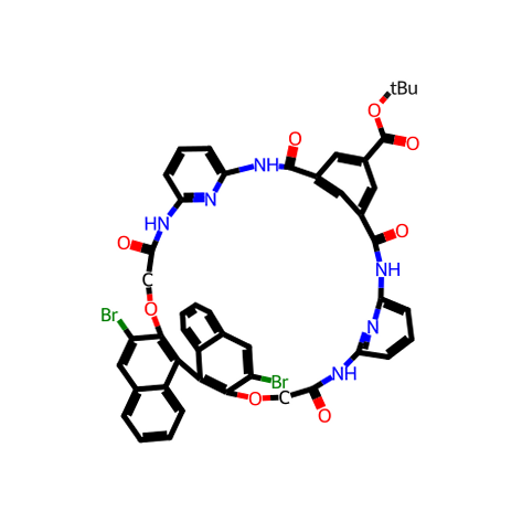 CC(C)(C)OC(=O)c1cc2cc(c1)C(=O)Nc1cccc(n1)NC(=O)COc1c(Br)cc3ccccc3c1-c1c(c(Br)cc3ccccc13)OCC(=O)Nc1cccc(n1)NC2=O